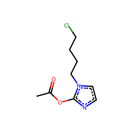 CC(=O)Oc1nccn1CCCCCl